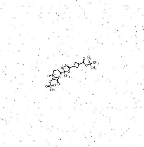 CC(C)(C)OC(=O)N1CC(C2=NNC(C)([C@@H]3CC[C@@H]4CN3C(=O)N4OS(=O)(=O)O)O2)C1